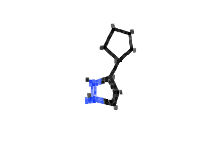 c1cc([C]2CCCC2)n[nH]1